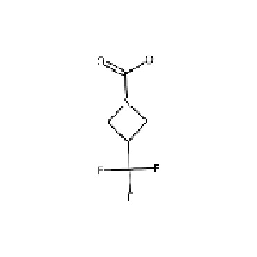 [O]C(=O)N1CC(C(F)(F)F)C1